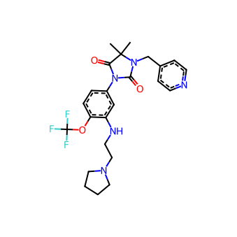 CC1(C)C(=O)N(c2ccc(OC(F)(F)F)c(NCCN3CCCC3)c2)C(=O)N1Cc1ccncc1